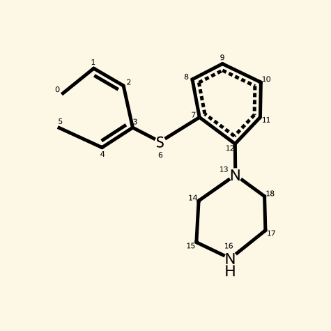 C/C=C\C(=C/C)Sc1ccccc1N1CCNCC1